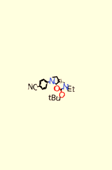 CCN(C[C@H]1CCN(c2ccc(C#N)cc2)C1)C(=O)OC(C)(C)C